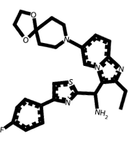 CCc1nc2ccc(N3CCC4(CC3)OCCO4)cn2c1C(N)c1nc(-c2ccc(F)cc2)cs1